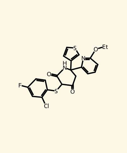 CCOc1cccc(C2(c3ccsc3)CC(=O)C(Sc3ccc(F)cc3Cl)C(=O)N2)n1